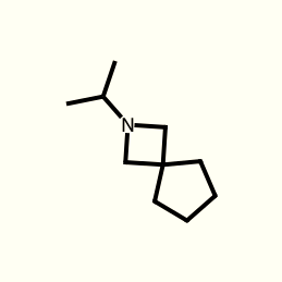 CC(C)N1CC2(CCCC2)C1